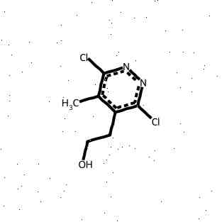 Cc1c(Cl)nnc(Cl)c1CCO